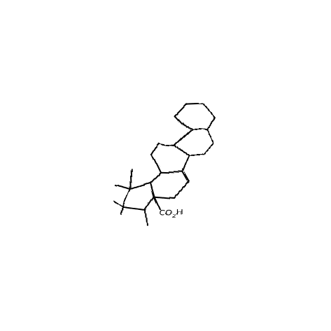 CC1C2(C(=O)O)CCC3C4CCC5CCCCC5C4CCC3C2C(C)(C)C1(C)C